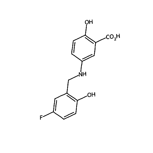 O=C(O)c1cc(NCc2cc(F)ccc2O)ccc1O